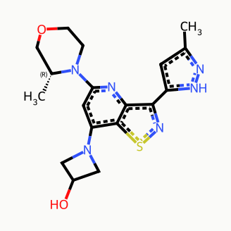 Cc1cc(-c2nsc3c(N4CC(O)C4)cc(N4CCOC[C@H]4C)nc23)[nH]n1